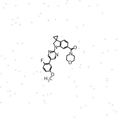 COc1ccc(F)c(-c2cnc(N3CC4(CC4)c4ccc(C(=O)N5CCOCC5)cc43)nc2)c1